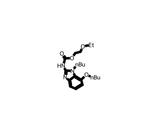 CCCCOc1cccc2nc(NC(=O)OCCOCC)n(CCCC)c12